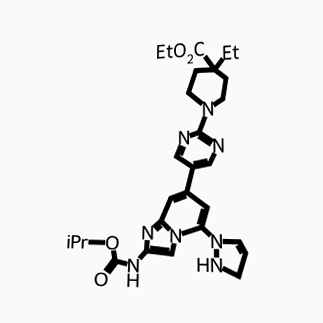 CCOC(=O)C1(CC)CCN(c2ncc(-c3cc(N4C=CCN4)n4cc(NC(=O)OC(C)C)nc4c3)cn2)CC1